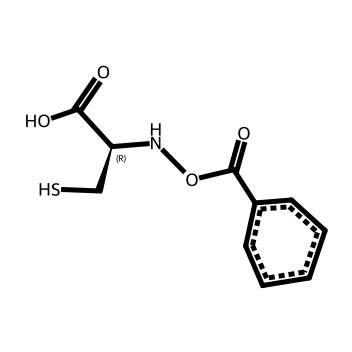 O=C(ON[C@@H](CS)C(=O)O)c1ccccc1